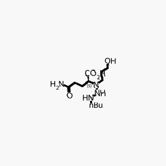 CCCCNNN(CCCO)[C@@H](CCC(N)=O)C(=O)O